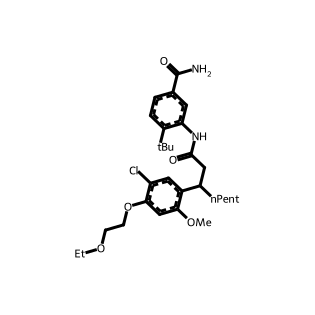 CCCCCC(CC(=O)Nc1cc(C(N)=O)ccc1C(C)(C)C)c1cc(Cl)c(OCCOCC)cc1OC